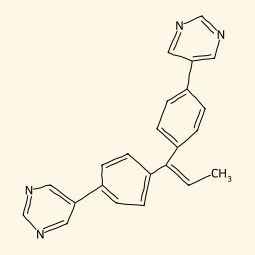 CC=C(c1ccc(-c2cncnc2)cc1)c1ccc(-c2cncnc2)cc1